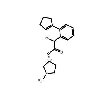 CN1CC[C@@H](OC(=O)C(O)c2ccccc2C2=CCCC2)C1